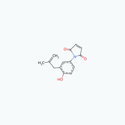 C=C(C)Cc1cc(N2C(=O)C=CC2=O)ccc1O